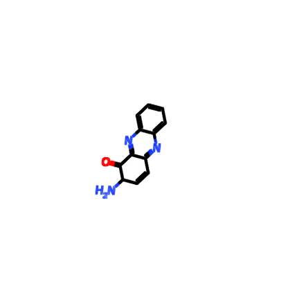 NC1C=Cc2nc3ccccc3nc2C1=O